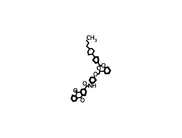 CCCCC1CCC(c2ccc(C(=O)OC(COc3ccc(NC(=O)c4ccc5c(c4)C(=O)c4ccccc4C5=O)cc3)c3ccccc3)cc2)CC1